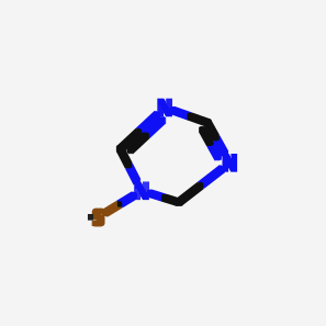 [S]N1C=NC=NC1